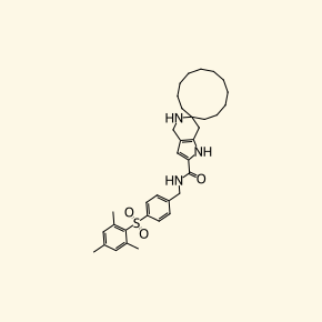 Cc1cc(C)c(S(=O)(=O)c2ccc(CNC(=O)c3cc4c([nH]3)CC3(CCCCCCCCCCC3)NC4)cc2)c(C)c1